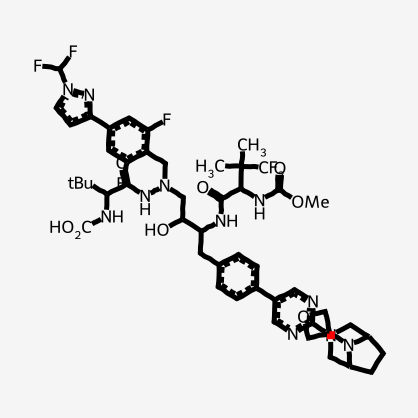 COC(=O)NC(C(=O)NC(Cc1ccc(-c2cnc(N3CC4CCC(C3)N4C3COC3)nc2)cc1)C(O)CN(Cc1c(F)cc(-c2ccn(C(F)F)n2)cc1F)NC(=O)C(NC(=O)O)C(C)(C)C)C(C)(C)C(F)(F)F